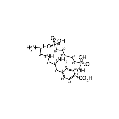 NCCNCC(N)Cc1ccc(C(=O)O)cc1.O=P(O)(O)CCCCCP(=O)(O)O